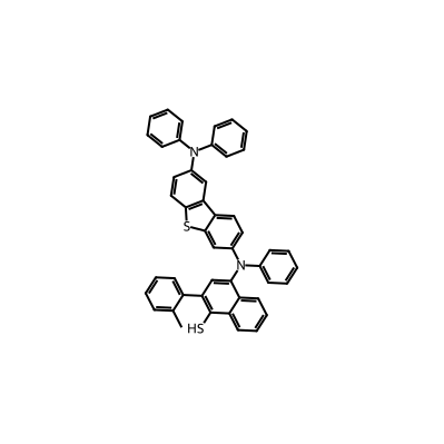 Cc1ccccc1-c1cc(N(c2ccccc2)c2ccc3c(c2)sc2ccc(N(c4ccccc4)c4ccccc4)cc23)c2ccccc2c1S